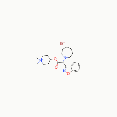 C[N+]1(C)CCC(OC(=O)C(c2noc3ccccc23)N2CCCCCC2)CC1.[Br-]